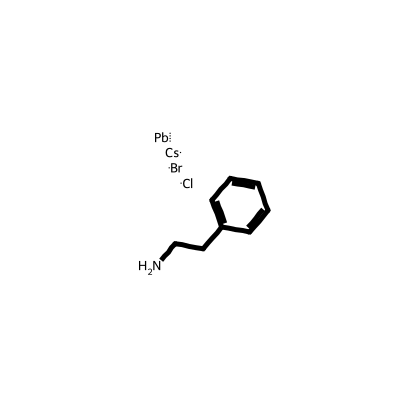 NCCc1ccccc1.[Br].[Cl].[Cs].[Pb]